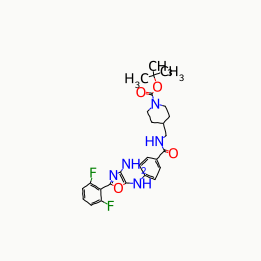 CC(C)(C)OC(=O)N1CCC(CNC(=O)c2ccc(Nc3oc(-c4c(F)cccc4F)nc3N)cc2)CC1